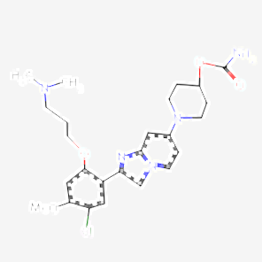 COc1cc(OCCCN(C)C)c(-c2cn3ccc(N4CCC(OC(N)=O)CC4)cc3n2)cc1Cl